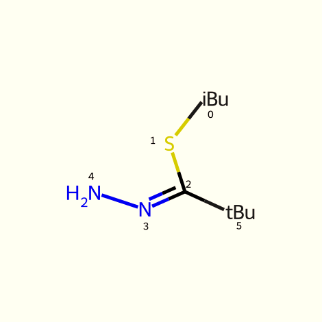 CCC(C)S/C(=N\N)C(C)(C)C